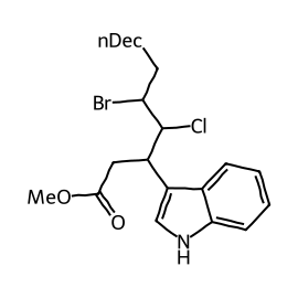 CCCCCCCCCCCC(Br)C(Cl)C(CC(=O)OC)c1c[nH]c2ccccc12